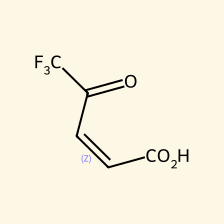 O=C(O)/C=C\C(=O)C(F)(F)F